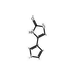 O=c1[nH]c(-c2ccsc2)co1